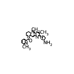 C=NN1C=C(C)C(N2CC[C@H](N)C2)=N/C1=C/C1CCCCN1C(=O)c1cccc(C)n1